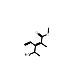 C=CC(=C(C)C(=O)OC)C(C)O